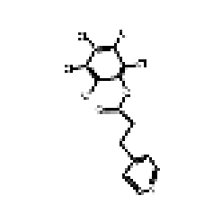 O=C(CCc1ccncc1)Oc1c(Cl)c(Cl)c(Cl)c(Cl)c1Cl